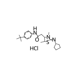 CC1S/C(=N\C2CCCC2)N(C)C1CC(=O)Nc1ccc(C(C)(C)C)cc1.Cl